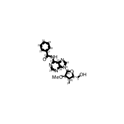 CO[C@@H]1[C@H](C)[C@@H](CO)O[C@H]1n1cnc2c(NC(=O)c3ccccc3)ncnc21